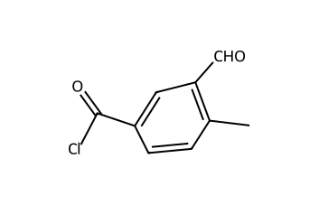 Cc1ccc(C(=O)Cl)cc1C=O